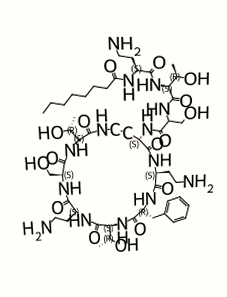 CCCCCCCC(=O)N[C@@H](CCN)C(=O)N[C@H](C(=O)NC(CO)C(=O)N[C@H]1CCNC(=O)[C@H]([C@@H](C)O)NC(=O)[C@H](CO)NC(=O)[C@H](CCN)NC(=O)[C@H]([C@@H](C)O)NC(=O)[C@@H](Cc2ccccc2)NC(=O)[C@H](CCN)NC1=O)[C@@H](C)O